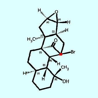 C[C@]12C[C@H]3O[C@@H]3[C@H]1CC[C@@H]1[C@H]3[C@@H](CCC[C@@]3(C)O)CC[C@]12C(=O)CBr